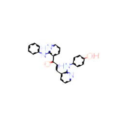 O=C(C=Cc1cccnc1Nc1ccc(O)cc1)c1cccnc1Nc1ccccc1